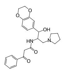 O=C(CC(=O)c1ccccc1)NC(CN1CCCC1)C(O)c1ccc2c(c1)OCCO2